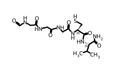 CC(C)[C@H](NC(=O)[C@H](CS)NC(=O)CNC(=O)CNC(=O)CNC=O)C(N)=O